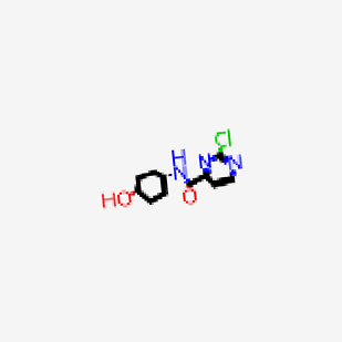 O=C(N[C@H]1CC[C@H](O)CC1)c1ccnc(Cl)n1